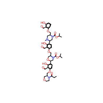 CCC(=O)N1CCOCC1COc1ccc(C2CN(C(=O)OC(C)C)C(COc3ccc(C4CN(C(=O)OC(C)C)C(COc5cccc(O)c5C=O)CN4C)c(O)c3C=O)CO2)c(O)c1C=O